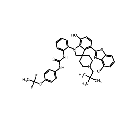 CC(C)(C)CN1CCC2(CC1)CN(c1ccccc1NC(=O)Nc1ccc(OC(C)(F)F)cc1)c1c(O)ccc(-c3nc4c(Cl)cccc4s3)c12